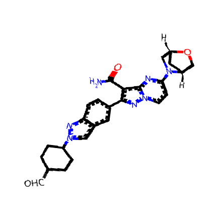 NC(=O)c1c(-c2ccc3nn(C4CCC(C=O)CC4)cc3c2)nn2ccc(N3C[C@H]4C[C@@H]3CO4)nc12